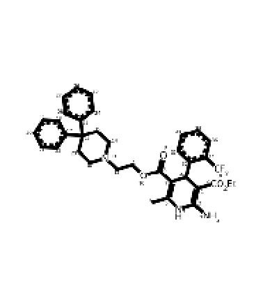 CCOC(=O)C1=C(N)NC(C)=C(C(=O)OCCN2CCC(c3ccccc3)(c3ccccc3)CC2)C1c1ccccc1C(F)(F)F